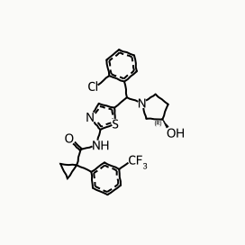 O=C(Nc1ncc(C(c2ccccc2Cl)N2CC[C@@H](O)C2)s1)C1(c2cccc(C(F)(F)F)c2)CC1